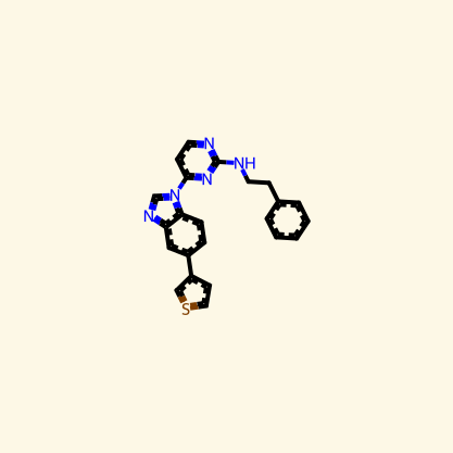 c1ccc(CCNc2nccc(-n3cnc4cc(-c5ccsc5)ccc43)n2)cc1